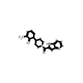 O=C1C(C(F)(F)F)=CC=CC1C1CCN(C(=O)c2cc3ncccc3[nH]2)CC1